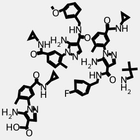 CC(C)(C)CN.COc1cccc(CNC(=O)c2cnn(-c3cc(C(=O)NC4CC4)ccc3C)c2N)c1.Cc1ccc(C(=O)NC2CC2)cc1-n1ncc(C(=O)NCc2ccc(F)cc2)c1N.Cc1ccc(C(=O)NC2CC2)cc1-n1ncc(C(=O)O)c1N